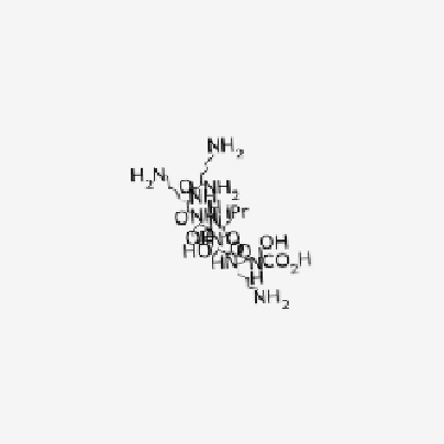 CC(C)C[C@H](NC(=O)[C@@H](NC(=O)[C@H](CCCCN)NC(=O)[C@@H](N)CCCCN)[C@@H](C)O)C(=O)N[C@H](C(=O)N[C@@H](CCCCN)C(=O)N[C@@H](CO)C(=O)O)[C@@H](C)O